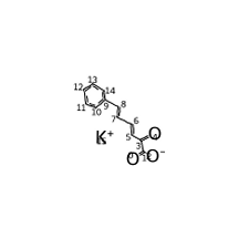 O=C([O-])C(=O)/C=C/C=C/c1ccccc1.[K+]